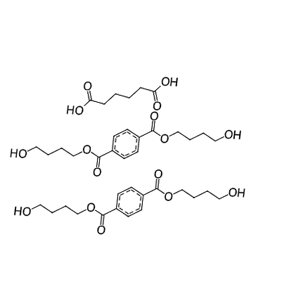 O=C(O)CCCCC(=O)O.O=C(OCCCCO)c1ccc(C(=O)OCCCCO)cc1.O=C(OCCCCO)c1ccc(C(=O)OCCCCO)cc1